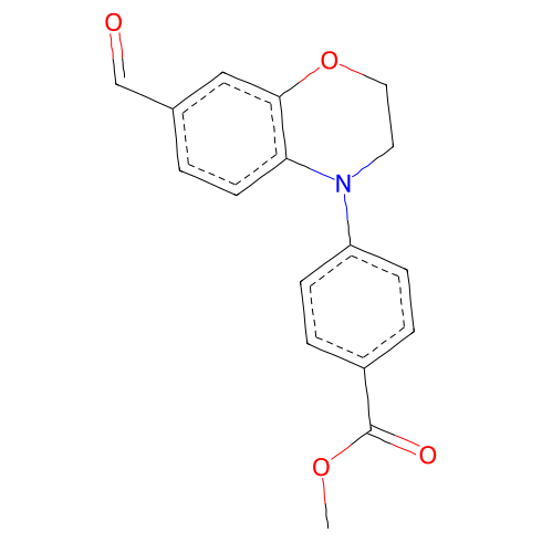 COC(=O)c1ccc(N2CCOc3cc(C=O)ccc32)cc1